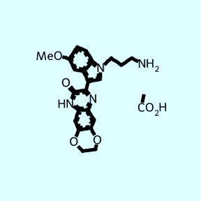 CC(=O)O.COc1ccc2c(c1)c(-c1nc3cc4c(cc3[nH]c1=O)OCCO4)cn2CCCN